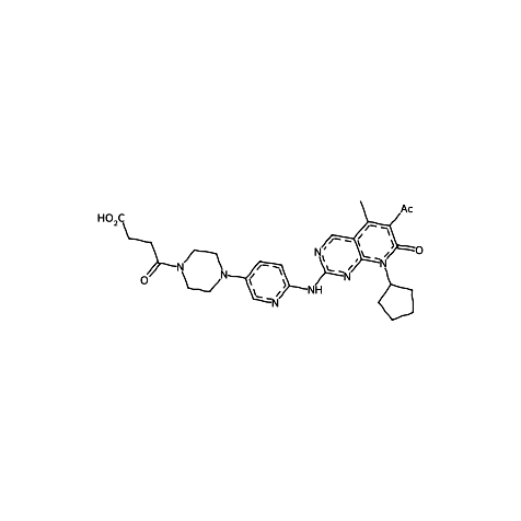 CC(=O)c1c(C)c2cnc(Nc3ccc(N4CCN(C(=O)CCC(=O)O)CC4)cn3)nc2n(C2CCCC2)c1=O